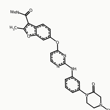 CNC(=O)c1c(C)oc2cc(Oc3ccnc(Nc4cccc(N5CCN(C)CC5=O)c4)n3)ccc12